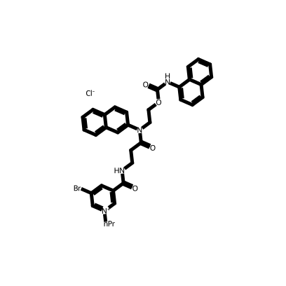 CCC[n+]1cc(Br)cc(C(=O)NCCC(=O)N(CCOC(=O)Nc2cccc3ccccc23)c2ccc3ccccc3c2)c1.[Cl-]